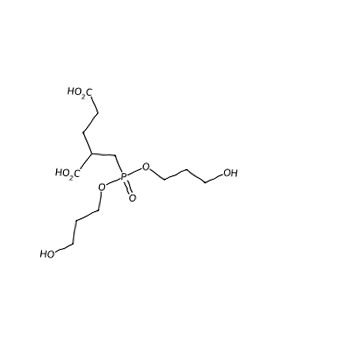 O=C(O)CCC(CP(=O)(OCCCO)OCCCO)C(=O)O